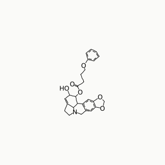 O=C(CCCOc1ccccc1)OC1C(O)C=C2CCN3Cc4cc5c(cc4C1C23)OCO5